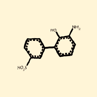 Nc1cccc(-c2cccc(S(=O)(=O)O)c2)c1O